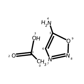 CC(=O)O.Nc1cnno1